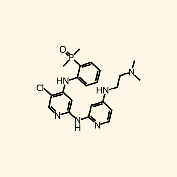 CN(C)CCNc1ccnc(Nc2cc(Nc3ccccc3P(C)(C)=O)c(Cl)cn2)c1